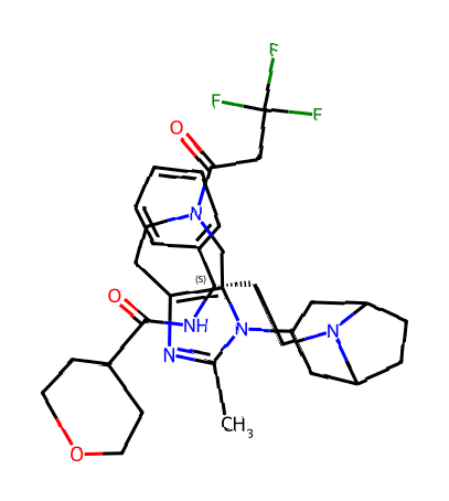 Cc1nc2c(n1C1CC3CCC(C1)N3CC[C@H](NC(=O)C1CCOCC1)c1ccccc1)CN(C(=O)CC(F)(F)F)CC2